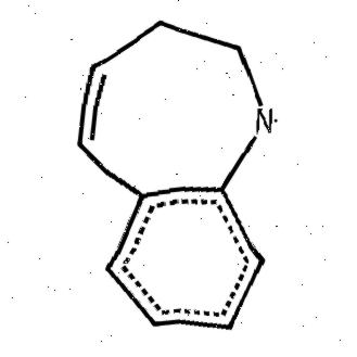 C1=Cc2ccccc2[N]CC1